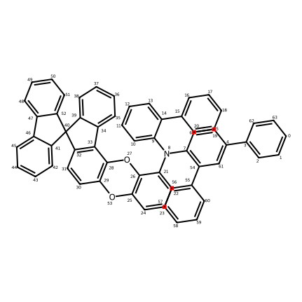 c1ccc(-c2ccc(N(c3ccccc3-c3ccccc3)c3cccc4c3Oc3c(ccc5c3-c3ccccc3C53c5ccccc5-c5ccccc53)O4)c(-c3ccccc3)c2)cc1